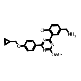 COc1nc(-c2ccc(OCC3CC3)cc2)nc(-c2cc(CN)ccc2Cl)n1